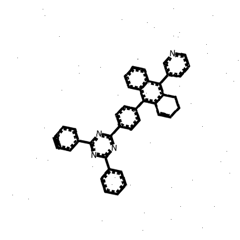 c1ccc(-c2nc(-c3ccccc3)nc(-c3ccc(-c4c5c(c(-c6cccnc6)c6ccccc46)CCC=C5)cc3)n2)cc#1